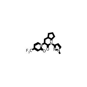 Cn1ccc(NC(=O)C(CC2CCCC2)n2ccc(C(F)(F)F)cc2=O)n1